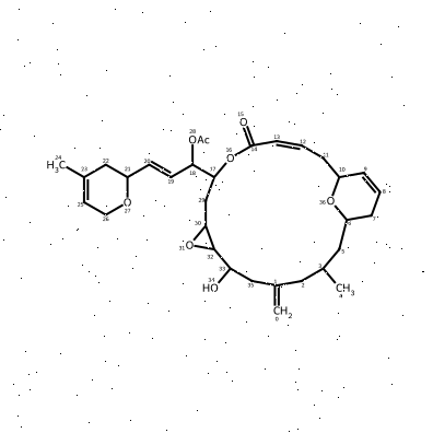 C=C1CC(C)CC2CC=CC(C/C=C\C(=O)OC(C(C=CC3CC(C)=CCO3)OC(C)=O)CC3OC3C(O)C1)O2